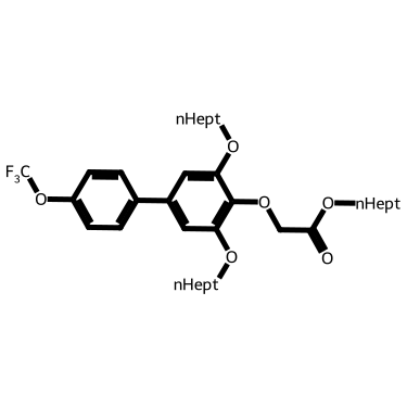 CCCCCCCOC(=O)COc1c(OCCCCCCC)cc(-c2ccc(OC(F)(F)F)cc2)cc1OCCCCCCC